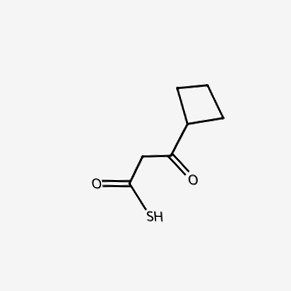 O=C(S)CC(=O)C1CCC1